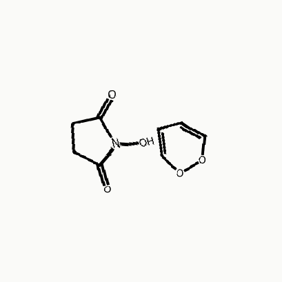 C1=COOC=C1.O=C1CCC(=O)N1O